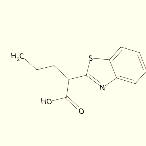 CCCC(C(=O)O)c1nc2ccccc2s1